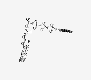 [Na+].[Na+].[Na+].[Na+].[Na+].[Na+].[Na+].[Na+].[Na+].[Na+].[Na+].[Na+].[O-]P([O-])F.[O-]P([O-])F.[O-]P([O-])F.[O-]P([O-])F.[O-]P([O-])F.[O-]P([O-])F